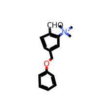 C[N+](C)(C)c1cc(COc2ccccc2)ccc1C=O